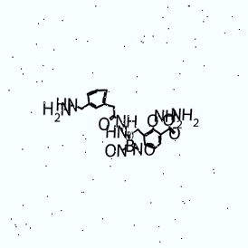 NNCc1cccc(CC(=O)NN[C@@H](Cc2cccc(C(=O)ON)c2ON)B(N=O)N=O)c1